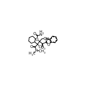 CCC(OC(N)=O)(C(=O)c1nc2ccccc2o1)C(C)(C(=O)N(C)C)C1CCCCC1